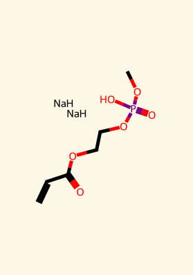 C=CC(=O)OCCOP(=O)(O)OC.[NaH].[NaH]